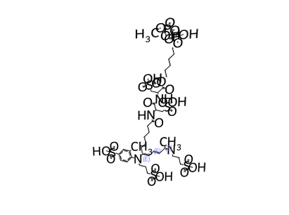 COP(=O)(O)OP(=O)(O)OCCCCCCOC(=O)C(CS(=O)(=O)O)NC(=O)C(CS(=O)(=O)O)NC(=O)CCCCC\C(=C/C=C/C(C)=N\CCCS(=O)(=O)O)N(CCCS(=O)(=O)O)c1ccc(S(=O)(=O)O)cc1C